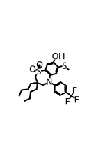 CCCCC1(CCCC)CN(c2ccc(C(F)(F)F)cc2)c2cc(SC)c(O)cc2S(=O)(=O)C1